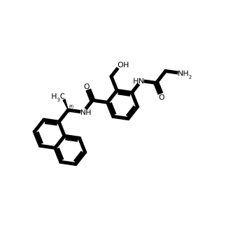 C[C@@H](NC(=O)c1cccc(NC(=O)CN)c1CO)c1cccc2ccccc12